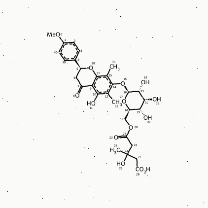 COc1ccc([C@@H]2CC(=O)c3c(O)c(C)c(O[C@@H]4O[C@H](COC(=O)CC(C)(O)CC(=O)O)[C@@H](O)[C@H](O)[C@H]4O)c(C)c3O2)cc1